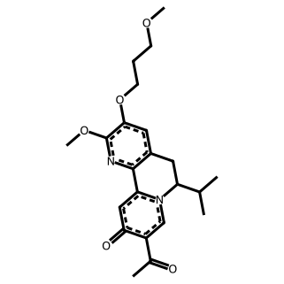 COCCCOc1cc2c(nc1OC)-c1cc(=O)c(C(C)=O)cn1C(C(C)C)C2